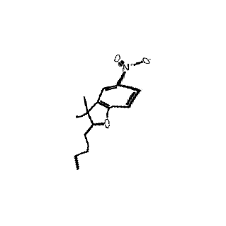 CCCCC1Oc2ccc([N+](=O)[O-])cc2C1(C)C